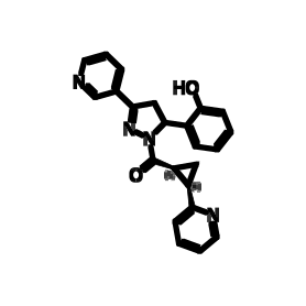 O=C([C@H]1C[C@H]1c1ccccn1)N1N=C(c2cccnc2)CC1c1ccccc1O